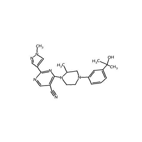 CC1CN(c2cccc(C(C)(C)O)c2)CCN1c1nc(-c2cnn(C)c2)ncc1C#N